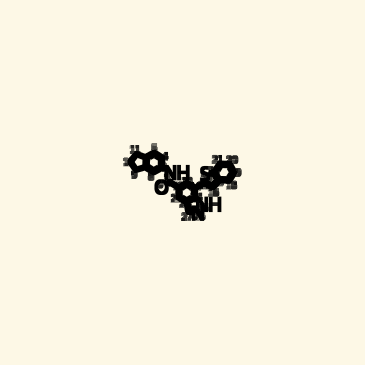 O=C(Nc1ccc2c(c1)CCC2)c1cc(-c2cc3ccccc3s2)c2[nH]ncc2c1